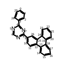 c1ccc(-c2ncnc(-c3ccc4c5ccccc5c5ccccc5c4c3)n2)cc1